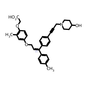 Cc1ccc(/C(=C/COc2ccc(OCC(=O)O)c(C)c2)c2ccc(C#CCN3CCC(O)CC3)cc2)cc1